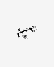 Br.Br.CCN(C)CCCSC(=N)N